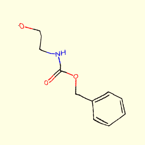 [O]CCNC(=O)OCc1ccccc1